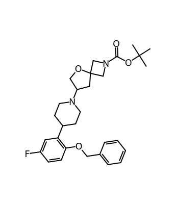 CC(C)(C)OC(=O)N1CC2(CC(N3CCC(c4cc(F)ccc4OCc4ccccc4)CC3)CO2)C1